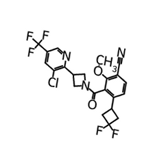 COc1c(C#N)ccc(C2CC(F)(F)C2)c1C(=O)N1CC(c2ncc(C(F)(F)F)cc2Cl)C1